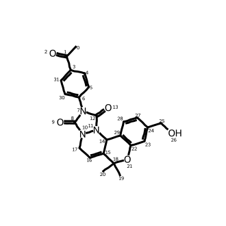 CC(=O)c1ccc(-n2c(=O)n3n(c2=O)C2C(=CC3)C(C)(C)Oc3cc(CO)ccc32)cc1